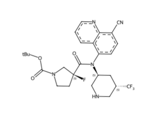 CC(C)(C)OC(=O)N1CC[C@@](F)(C(=O)N(c2ccc(C#N)c3ncccc23)[C@@H]2CNC[C@@H](C(F)(F)F)C2)C1